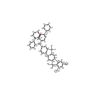 CC1(C)c2cc(N(c3ccc(-c4ccccc4)cc3)c3ccccc3-c3ccccc3)ccc2-c2cc3c(cc21)-c1cc(Cl)cc(Cl)c1C3(C)C